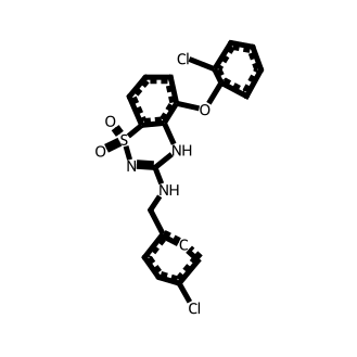 O=S1(=O)N=C(NCc2ccc(Cl)cc2)Nc2c(Oc3ccccc3Cl)cccc21